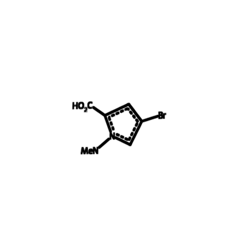 CNn1cc(Br)cc1C(=O)O